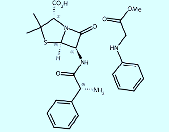 CC1(C)S[C@@H]2[C@H](NC(=O)[C@H](N)c3ccccc3)C(=O)N2[C@H]1C(=O)O.COC(=O)CNc1ccccc1